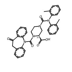 Cc1ccccc1N(C(=O)N1CCN(C(=O)N2c3ccccc3CC(=O)c3ccccc32)[C@H](C(=O)O)C1)c1ccccc1C